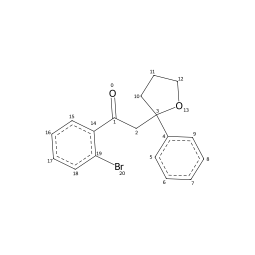 O=C(CC1(c2ccccc2)CCCO1)c1ccccc1Br